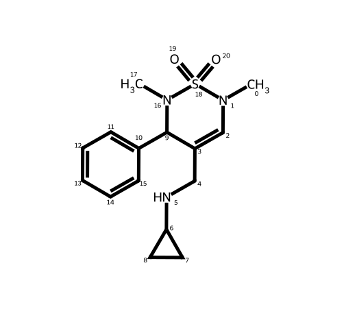 CN1C=C(CNC2CC2)C(c2ccccc2)N(C)S1(=O)=O